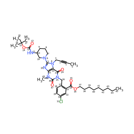 CC#CCn1c(N2CCCC(NC(=O)OC(C)(C)C)C2)nc2c1c(=O)n(Cc1ccc(Cl)cc1C(=O)OCCCCCCCCC)c(=O)n2C